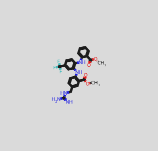 COC(=O)c1ccccc1Nc1ccc(C(F)(F)F)cc1Nc1ccc(CNC(=N)N)cc1C(=O)OC